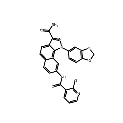 NC(=O)c1nn(-c2ccc3c(c2)OCO3)c2c1ccc1ccc(NC(=O)c3cccnc3Cl)cc12